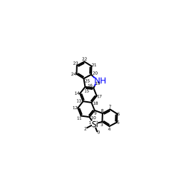 C[Si]1(C)c2ccccc2-c2c1ccc1cc3c(cc21)[nH]c1ccccc13